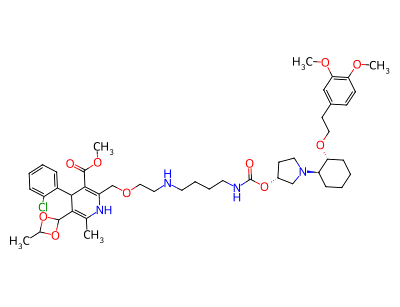 COC(=O)C1=C(COCCNCCCCNC(=O)O[C@@H]2CCN([C@@H]3CCCC[C@H]3OCCc3ccc(OC)c(OC)c3)C2)NC(C)=C(C2OC(C)O2)C1c1ccccc1Cl